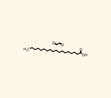 CCCCCCCCCCCCCCCCCC(=O)O.O=CC=O